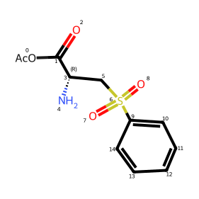 CC(=O)OC(=O)[C@@H](N)CS(=O)(=O)c1ccccc1